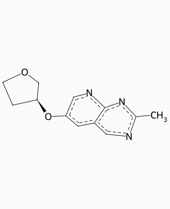 Cc1ncc2cc(O[C@H]3CCOC3)cnc2n1